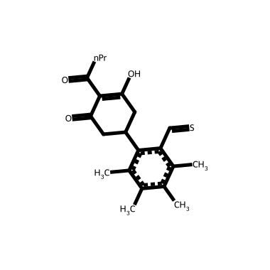 CCCC(=O)C1=C(O)CC(c2c(C)c(C)c(C)c(C)c2C=S)CC1=O